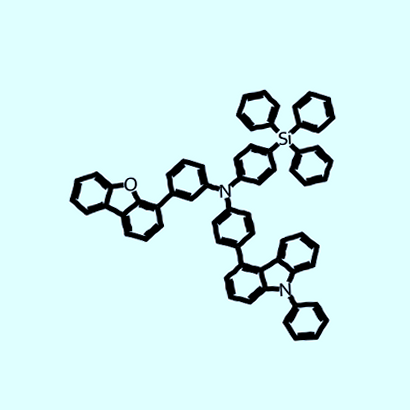 c1ccc(-n2c3ccccc3c3c(-c4ccc(N(c5ccc([Si](c6ccccc6)(c6ccccc6)c6ccccc6)cc5)c5cccc(-c6cccc7c6oc6ccccc67)c5)cc4)cccc32)cc1